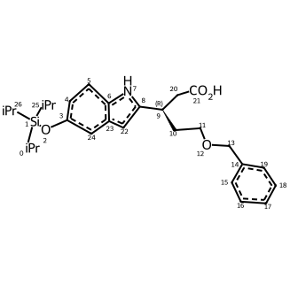 CC(C)[Si](Oc1ccc2[nH]c([C@H](CCOCc3ccccc3)CC(=O)O)cc2c1)(C(C)C)C(C)C